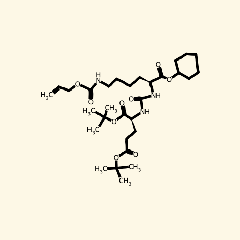 C=CCOC(=O)NCCCC[C@H](NC(=O)N[C@@H](CCC(=O)OC(C)(C)C)C(=O)OC(C)(C)C)C(=O)OC1CCCCC1